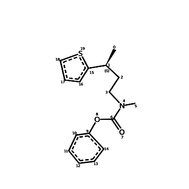 C[C@@H](CCN(C)C(=O)Oc1ccccc1)c1cccs1